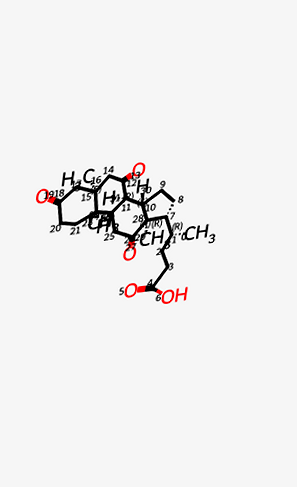 C[C@H](CCC(=O)O)[C@H]1CC[C@H]2[C@@H]3C(=O)C[C@]4(C)CC(=O)CC[C@]4(C)[C@H]3CC(=O)[C@]12C